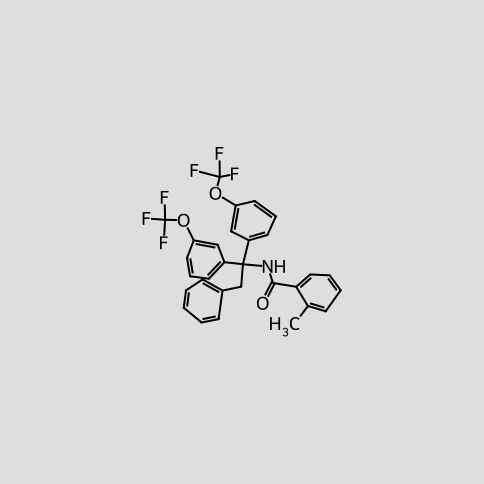 Cc1ccccc1C(=O)NC(Cc1ccccc1)(c1cccc(OC(F)(F)F)c1)c1cccc(OC(F)(F)F)c1